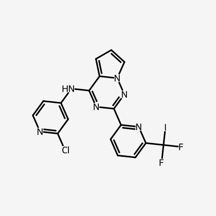 FC(F)(I)c1cccc(-c2nc(Nc3ccnc(Cl)c3)c3cccn3n2)n1